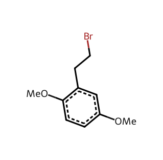 COc1ccc(OC)c(CCBr)c1